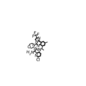 Cc1cc(C(C)Nc2ccc(Cl)nc2C(N)=O)c2nc(N3CCOCC3)n3cc(C(F)(F)F)nc3c2c1